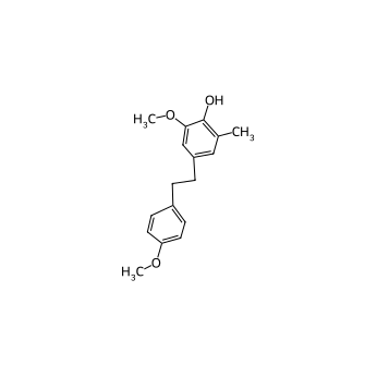 COc1ccc(CCc2cc(C)c(O)c(OC)c2)cc1